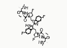 CC[C@H](NC(=O)[C@H](C)NC)C(=O)N1C[C@@H](F)C[C@H]1Cc1c(-c2nc3cc(F)ccc3n2C[C@@H]2C[C@H](F)CN2C(=O)[C@H](CC)NC(=O)[C@H](C)NC)[nH]c2cc(F)ccc12